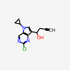 C#CCC(O)c1cn(C2CC2)c2cnc(Cl)nc12